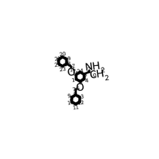 C=C(N)c1cc(OCc2ccccc2)cc(OCc2ccccc2)c1